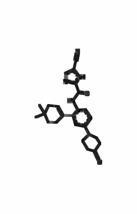 CC1(C)CC=C(c2cc(C3CCC(=O)CC3)ccc2NC(=O)c2ncc(C#N)[nH]2)CC1